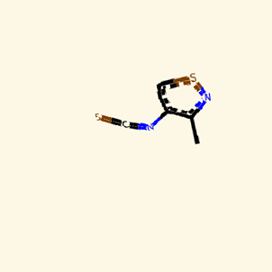 Cc1nscc1N=C=S